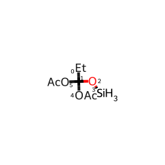 CCC(O[SiH3])(OC(C)=O)OC(C)=O